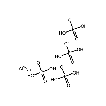 O=P([O-])(O)O.O=P([O-])(O)O.O=P([O-])(O)O.O=P([O-])(O)O.[Al+3].[Na+]